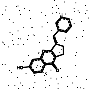 O=c1c2c(oc3cc(O)ccc13)/C(=C/c1cccnc1)CC2